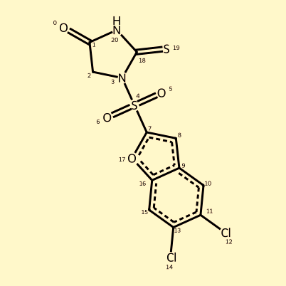 O=C1CN(S(=O)(=O)c2cc3cc(Cl)c(Cl)cc3o2)C(=S)N1